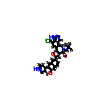 COc1cc2ccc(C(=O)C[C@@H]3Cc4cc(Cl)c5[nH]ncc5c4CN(CC(C)(C)C)C3=O)cc2cc1C1CCNCC1